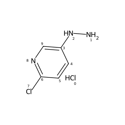 Cl.NNc1ccc(Cl)nc1